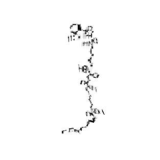 CCCCCCCCCCCCC/C=C\C(=O)N(O)CCCCCNC(=O)CCC(=O)N(O)CCCCCNC(=O)[C@@H]1COC(c2ccccc2O)=N1